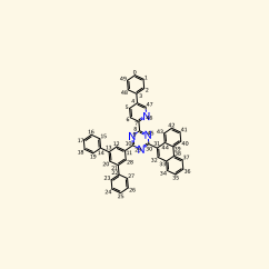 c1ccc(-c2ccc(-c3nc(-c4cc(-c5ccccc5)cc(-c5ccccc5)c4)nc(-c4cc5ccccc5c5ccccc45)n3)nc2)cc1